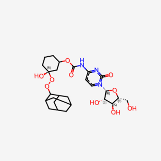 O=C(Nc1ccn([C@@H]2O[C@H](CO)[C@@H](O)[C@@H]2O)c(=O)n1)OC1CCC[C@@](O)(OOC2C3CC4CC(C3)CC2C4)C1